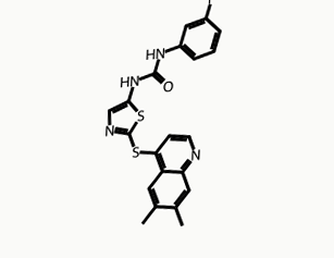 Cc1cc2nccc(Sc3ncc(NC(=O)Nc4cccc(F)c4)s3)c2cc1C